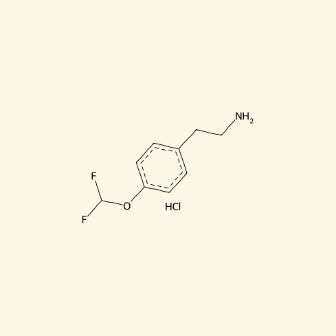 Cl.NCCc1ccc(OC(F)F)cc1